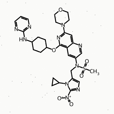 CS(=O)(=O)N(Cc1cnc([N+](=O)[O-])n1C1CC1)c1cnc2cc(N3CCOCC3)nc(OC3CCC(Nc4ncccn4)CC3)c2c1